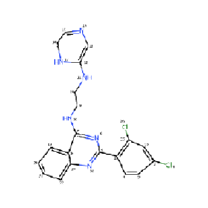 Clc1ccc(-c2nc(NCCNC3=CN=CCN3)c3ccccc3n2)c(Cl)c1